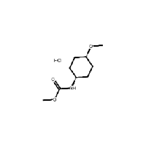 COC(=O)N[C@H]1CC[C@@H](OC)CC1.Cl